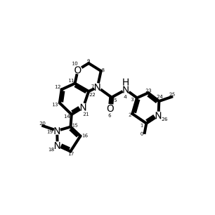 Cc1cc(NC(=O)N2CCOc3ccc(-c4ccnn4C)nc32)cc(C)n1